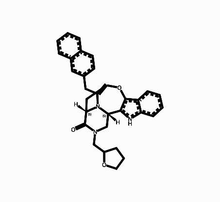 O=C1[C@@H]2CC3=C(Cc4ccc5ccccc5c4)N2[C@@H](CN1CC1CCCO1)c1[nH]c2ccccc2c1O3